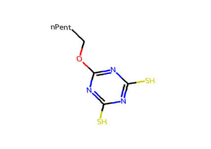 CCCCCCOc1nc(S)nc(S)n1